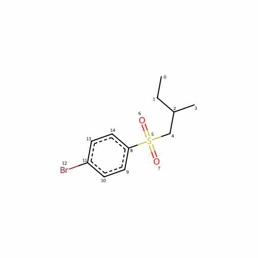 CCC(C)CS(=O)(=O)c1ccc(Br)cc1